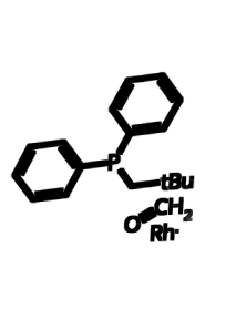 C=O.CC(C)(C)CP(c1ccccc1)c1ccccc1.[Rh]